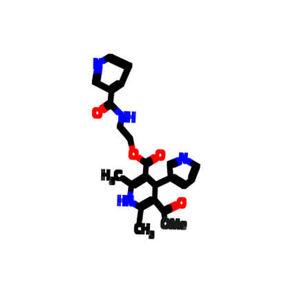 COC(=O)C1=C(C)NC(C)=C(C(=O)OCCNC(=O)c2cccnc2)C1c1cccnc1